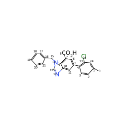 Cc1ccc(-c2cc(C(=O)O)c3c(c2)ncn3Cc2ccccc2)c(Cl)c1